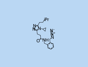 CC(C)CCc1nnc(CCC(=O)NCc2ccccc2CN=[N+]=[N-])n1C1CC1